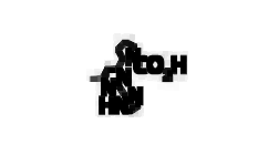 Cc1cc(C2CCCN2C(=O)O)nc(-c2ncc[nH]2)n1